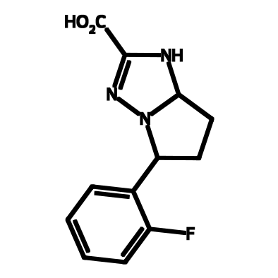 O=C(O)C1=NN2C(CCC2c2ccccc2F)N1